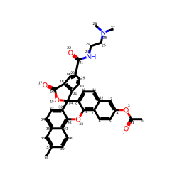 CC(=O)Oc1ccc2c3c(ccc2c1)C1(OC(=O)c2cc(C(=O)NCCN(C)C)ccc21)c1ccc2cc(C)ccc2c1O3